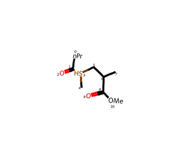 CCCC(=O)[SH](C)CC(C)C(=O)OC